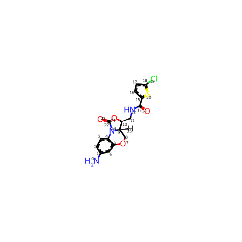 Nc1ccc2c(c1)OC[C@H]1[C@H](CNC(=O)c3ccc(Cl)s3)OC(=O)N21